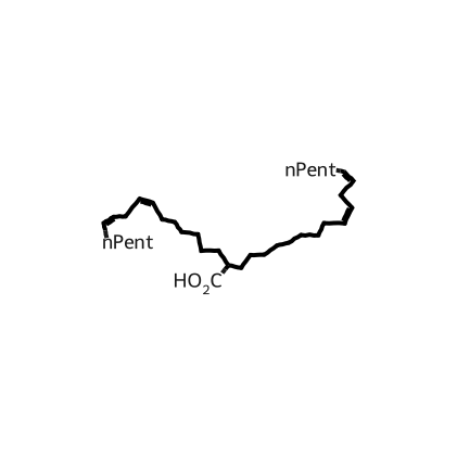 CCCCC/C=C\C/C=C\CCCCCCCCC(CCCCCC/C=C\C/C=C\CCCCC)C(=O)O